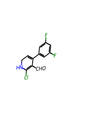 O=CC1=C(Cl)NCC=C1c1cc(F)cc(F)c1